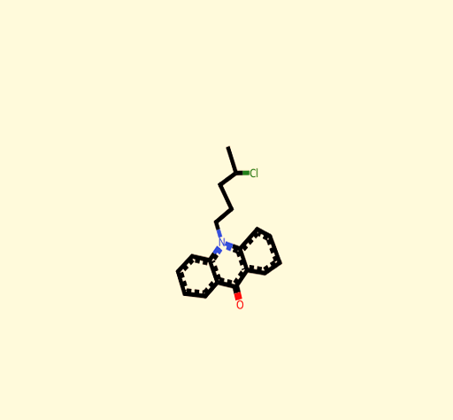 CC(Cl)CCCn1c2ccccc2c(=O)c2ccccc21